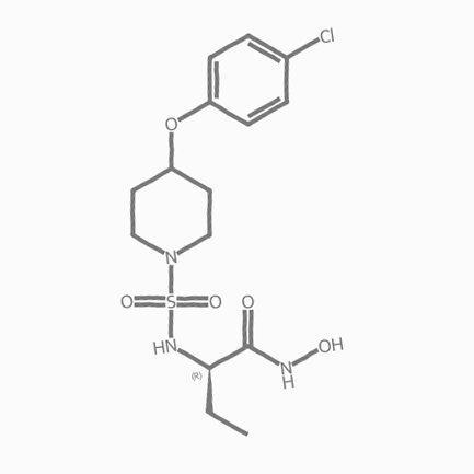 CC[C@@H](NS(=O)(=O)N1CCC(Oc2ccc(Cl)cc2)CC1)C(=O)NO